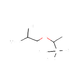 CCC(OCC(C)OC)[Si](OC(C)=O)(OC(C)=O)OC(C)=O